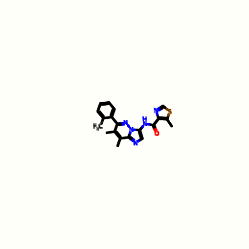 Cc1scnc1C(=O)Nc1cnc2c(C)c(C)c(-c3ccccc3C(F)(F)F)nn12